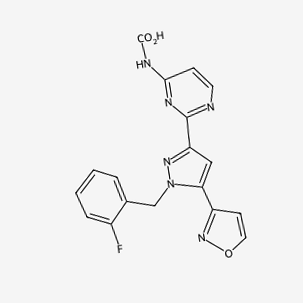 O=C(O)Nc1ccnc(-c2cc(-c3ccon3)n(Cc3ccccc3F)n2)n1